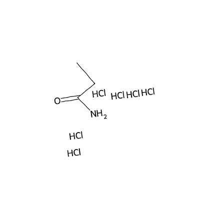 CCC(N)=O.Cl.Cl.Cl.Cl.Cl.Cl